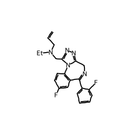 C=CCN(CC)Cc1nnc2n1-c1ccc(F)cc1C(c1ccccc1F)=NC2